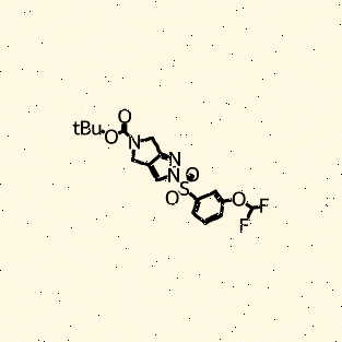 CC(C)(C)OC(=O)N1Cc2cn(S(=O)(=O)c3cccc(OC(F)F)c3)nc2C1